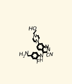 N#Cc1nnc2cc(N3CCN(CCO)CC3)ccc2c1Nc1ccc(CN)cc1F